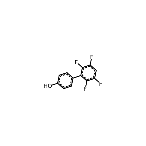 Oc1ccc(-c2c(F)c(F)cc(F)c2F)cc1